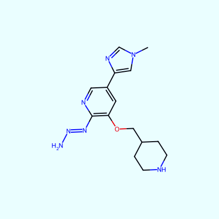 Cn1cnc(-c2cnc(N=NN)c(OCC3CCNCC3)c2)c1